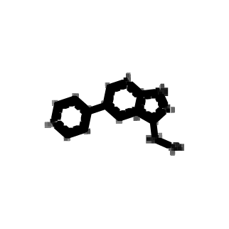 CCCCNc1n[nH]c2ncc(-c3ccncc3)cc12